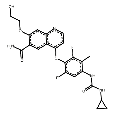 Cc1c(NC(=O)NC2CC2)cc(F)c(Oc2ccnc3cc(OCCO)c(C(N)=O)cc23)c1F